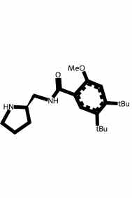 COc1cc(C(C)(C)C)c(C(C)(C)C)cc1C(=O)NC[C@H]1CCCN1